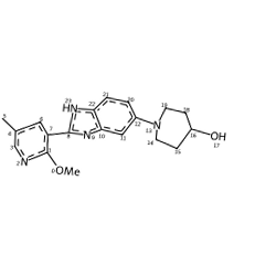 COc1ncc(C)cc1-c1nc2cc(N3CCC(O)CC3)ccc2[nH]1